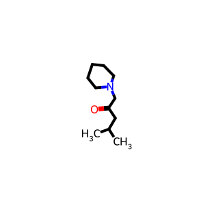 CC(C)CC(=O)CN1CCCCC1